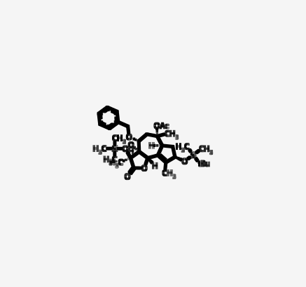 CC(=O)O[C@@]1(C)C[C@@H](OCc2ccccc2)[C@@]2(O)[C@@H](OC(=O)[C@@]2(C)O[Si](C)(C)C)C2=C(C)[C@H](O[Si](C)(C)C(C)(C)C)C[C@@H]21